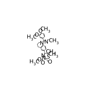 CCN=C(c1ccc(OC)c(OC)c1)N1CCCc2cc(C3=NN(C(=O)OC)C(C=O)SC3(C)C)ccc21